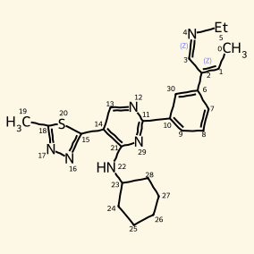 C/C=C(\C=N/CC)c1cccc(-c2ncc(-c3nnc(C)s3)c(NC3CCCCC3)n2)c1